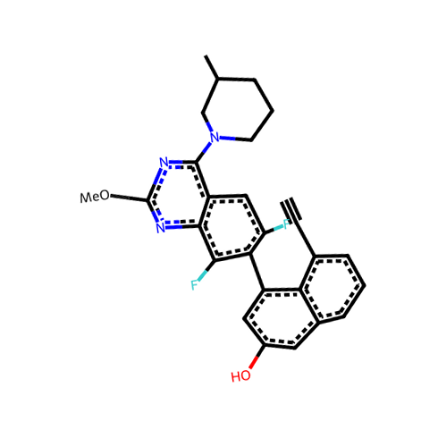 C#Cc1cccc2cc(O)cc(-c3c(F)cc4c(N5CCCC(C)C5)nc(OC)nc4c3F)c12